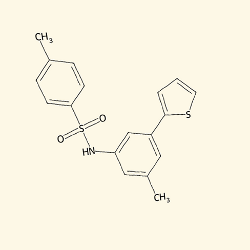 Cc1ccc(S(=O)(=O)Nc2cc(C)cc(-c3cccs3)c2)cc1